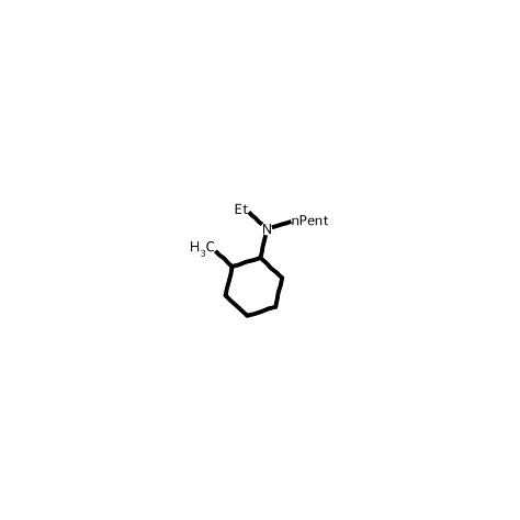 CCCCCN(CC)C1CCCCC1C